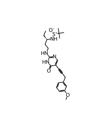 CC[C@H](CCNc1ncc(C#CCc2cccc(OC)c2)c(=O)[nH]1)N[S+]([O-])C(C)(C)C